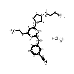 CCCc1cc(N2CC[C@H](NCCN)C2)nc(Nc2cccc(C#N)c2)n1.Cl.Cl